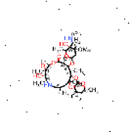 CCCNC[C@]1(O)[C@H](C)O[C@@H](O[C@H]2[C@H](C)[C@@H](O[C@H]3C[C@@H](C)C[C@@H](C)O3)[C@](C)(O)C[C@@H](C)CN[C@H](C)[C@@H](O)[C@](C)(O)[C@@H](CC)OC(=O)[C@@H]2C)C[C@@]1(C)OC